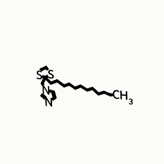 CCCCCCCCCCCCC1(Cn2ccnc2)SCCS1